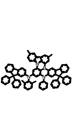 Cc1ccc2c(c1)c1cc(C)cc3c1n2-c1cc(N(c2ccc4c(c2)C(c2ccccc2)(c2ccccc2)c2ccccc2-4)c2c(C)cccc2C)cc2c1B3c1cc3c(cc1N2c1ccccc1)C(c1ccccc1)(c1ccccc1)c1ccccc1-3